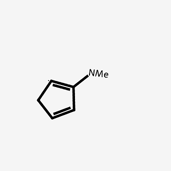 CNC1=[C]CC=C1